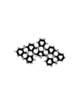 c1cc2c3c(c1)Sc1ccc4c5c1N3c1c(cccc1B5c1sc3c5c1N4c1ccccc1N5c1ccc4c5c1B3c1cccc3c1N5c1c(cccc1S4)S3)S2